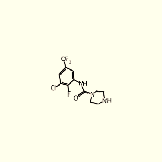 O=C(Nc1cc(C(F)(F)F)cc(Cl)c1F)N1CCNCC1